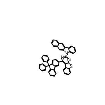 c1ccc(C2(c3ccccc3)c3ccccc3-c3cc(-c4nc(-n5c6ccccc6c6cc7ccccc7cc65)nc5sc6ccccc6c45)ccc32)cc1